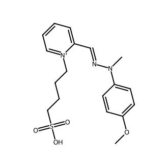 COc1ccc(N(C)N=Cc2cccc[n+]2CCCCS(=O)(=O)O)cc1